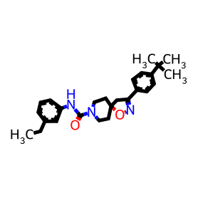 CCc1cccc(NC(=O)N2CCC3(CC2)CC(c2ccc(C(C)(C)C)cc2)=NO3)c1